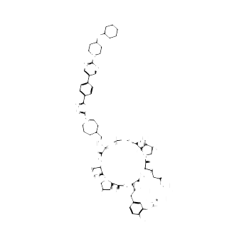 C[C@@H](O)[C@@H]1NC(=O)[C@@H](NCC2CCCN(c3nnc(-c4ccc(-c5cnc(N6CCC(OC7CCCCC7)CC6)nc5)cc4)s3)CC2)C[C@@H](O)CNC(=O)[C@@H]2[C@@H](O)[C@@H](C)CN2C(=O)[C@H]([C@H](O)CC(N)=O)NC(=O)[C@H]([C@H](O)Cc2ccc(O)c(OS(=O)(=O)O)c2)NC(=O)[C@@H]2CC(O)CN2C1=O